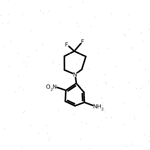 Nc1ccc([N+](=O)[O-])c(N2CCC(F)(F)CC2)c1